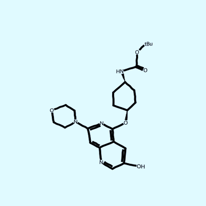 CC(C)(C)OC(=O)N[C@H]1CC[C@@H](Oc2nc(N3CCOCC3)cc3ncc(O)cc23)CC1